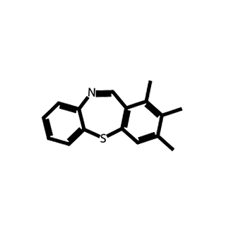 Cc1cc2c(c(C)c1C)C=Nc1ccccc1S2